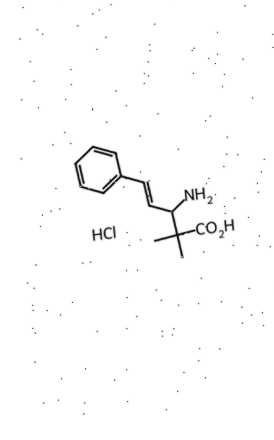 CC(C)(C(=O)O)C(N)C=Cc1ccccc1.Cl